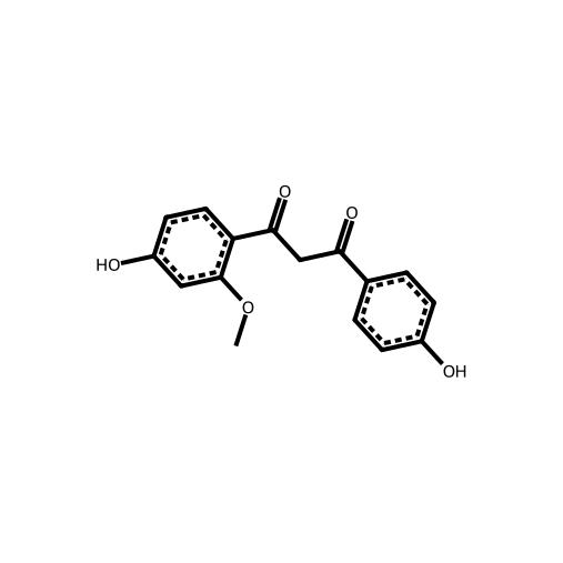 COc1cc(O)ccc1C(=O)CC(=O)c1ccc(O)cc1